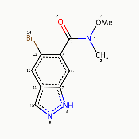 CON(C)C(=O)c1cc2[nH]ncc2cc1Br